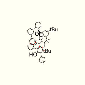 CC(C)(C)c1cc(Sc2ccccc2-c2cccc(-c3ccccc3)c2O)c2c(c1)C(C)(C)c1cc(C(C)(C)C)cc(Sc3ccccc3-c3cccc(-c4ccccc4)c3O)c1O2